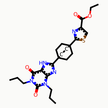 CCCn1c(=O)c2[nH]c(C34CCC(c5nc(C(=O)OCC)cs5)(CC3)CC4)nc2n(CCC)c1=O